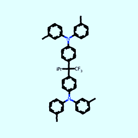 Cc1cccc(N(c2ccc(C(c3ccc(N(c4cccc(C)c4)c4cccc(C)c4)cc3)(C(C)C)C(F)(F)F)cc2)c2cccc(C)c2)c1